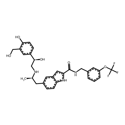 C[C@H](Cc1ccc2[nH]c(C(=O)NCc3cccc(OC(F)(F)F)c3)cc2c1)NC[C@H](O)c1ccc(O)c(CO)c1